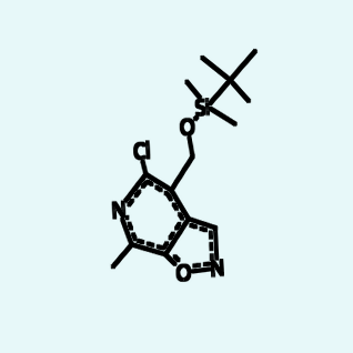 Cc1nc(Cl)c(CO[Si](C)(C)C(C)(C)C)c2cnoc12